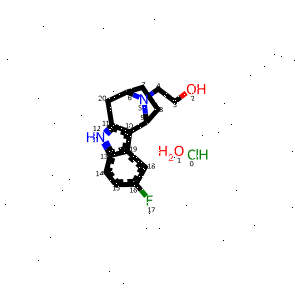 Cl.O.OCCN1C2CCC1c1c([nH]c3ccc(F)cc13)C2